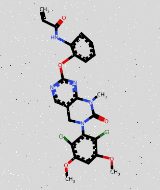 C=CC(=O)Nc1ccccc1Oc1ncc2c(n1)N(C)C(=O)N(c1c(Cl)c(OC)cc(OC)c1Cl)C2